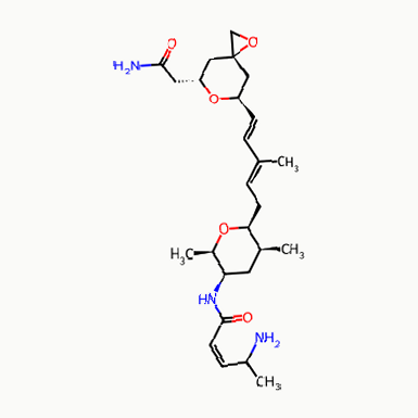 CC(/C=C/[C@@H]1C[C@]2(CO2)C[C@@H](CC(N)=O)O1)=C\C[C@@H]1O[C@H](C)[C@H](NC(=O)/C=C\C(C)N)C[C@@H]1C